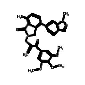 C=C(CN1Cc2c(-c3ccc4cnn(C)c4c3)ccc(N)c2C1=O)C(=O)c1cc(OC)c(OC)c(OC)c1